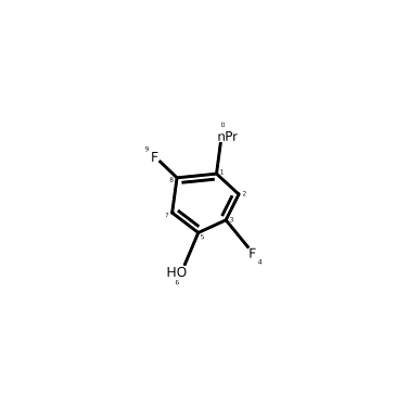 CCCc1cc(F)c(O)cc1F